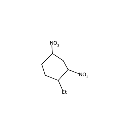 [CH2]CC1CCC([N+](=O)[O-])CC1[N+](=O)[O-]